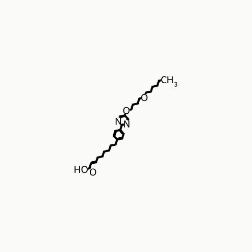 CCCCCCOCCCCOc1cnc(-c2ccc(CCCCCC/C=C/C(=O)O)cc2)nc1